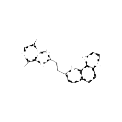 Cc1ncc(C)n2nc(CCc3ccc4ccc5nccnc5c4n3)nc12